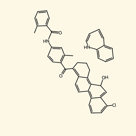 C1=CNc2ccccc2C=C1.Cc1ccccc1C(=O)Nc1ccc(C(=O)C2=c3ccc4c(c3CCC2)C(O)C=c2c(Cl)cccc2=4)c(C)c1